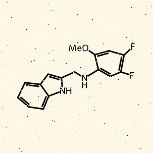 COc1cc(F)c(F)cc1NCc1cc2ccccc2[nH]1